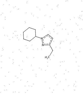 CCc1ccn(C2CCCCC2)n1